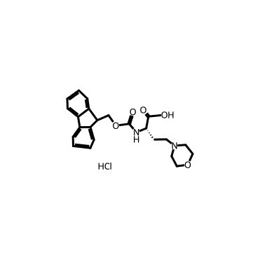 Cl.O=C(N[C@@H](CCN1CCOCC1)C(=O)O)OCC1c2ccccc2-c2ccccc21